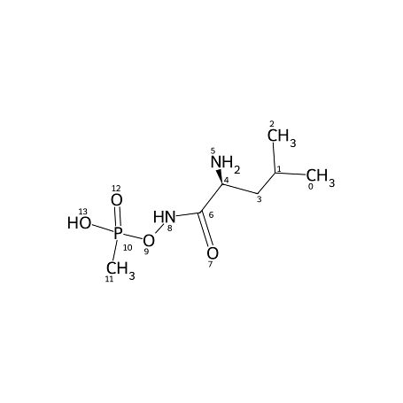 CC(C)C[C@H](N)C(=O)NOP(C)(=O)O